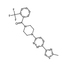 Cc1nc(-c2ccc(N3CCN(C(=O)c4ccccc4C(F)(F)F)CC3)nn2)cs1